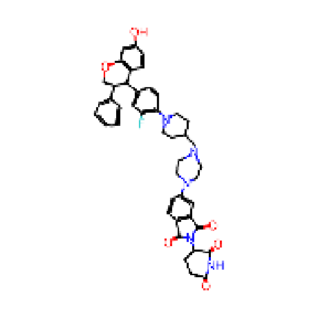 O=C1CCC(N2C(=O)c3ccc(N4CCN(CC5CCN(c6ccc(C7c8ccc(O)cc8OCC7c7ccccc7)cc6F)CC5)CC4)cc3C2=O)C(=O)N1